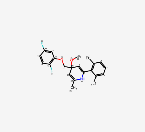 CCc1cccc(CC)c1C1=CC(COc2cc(F)ccc2F)(OC(C)C)C=C(C)N1